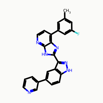 Cc1cc(F)cc(-c2ccnc3[nH]c(-c4n[nH]c5ccc(-c6cccnc6)cc45)nc23)c1